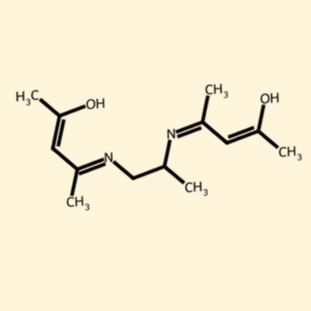 CC(O)=CC(C)=NCC(C)N=C(C)C=C(C)O